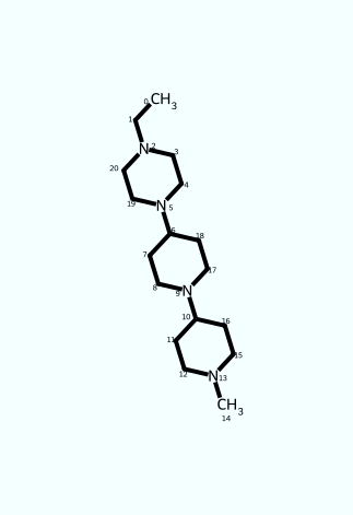 CCN1CCN(C2CCN(C3CCN(C)CC3)CC2)CC1